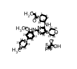 C=CC(=O)N1CCCC(Nc2nc(Nc3ccc(N4CCN(C)CC4)cc3OC)ncc2N2CCOCC2)C1.O=C(O)C(F)(F)F